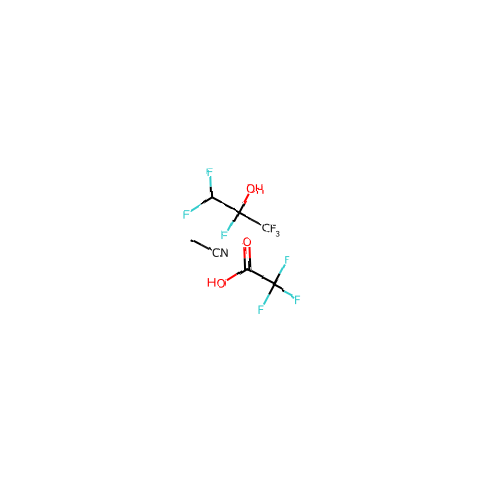 CC#N.O=C(O)C(F)(F)F.OC(F)(C(F)F)C(F)(F)F